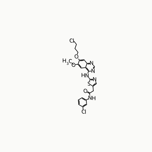 COc1cc2c(Nc3ncc(CC(=O)Nc4cccc(Cl)c4)s3)ncnc2cc1OCCCCl